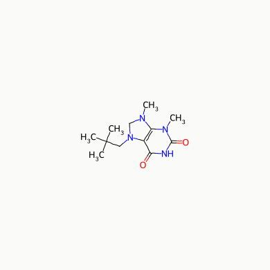 CN1CN(CC(C)(C)C)c2c1n(C)c(=O)[nH]c2=O